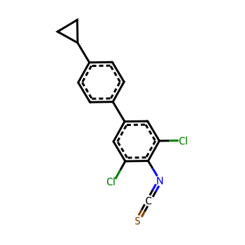 S=C=Nc1c(Cl)cc(-c2ccc(C3CC3)cc2)cc1Cl